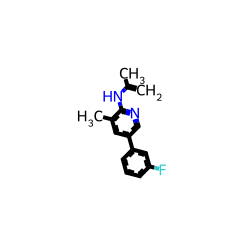 C=C(C)Nc1ncc(-c2cccc(F)c2)cc1C